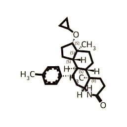 Cc1ccc([C@H]2C[C@H]3NC(=O)CC[C@]3(C)[C@H]3CC[C@]4(C)[C@@H](OC5CC5)CC[C@H]4[C@H]23)cc1